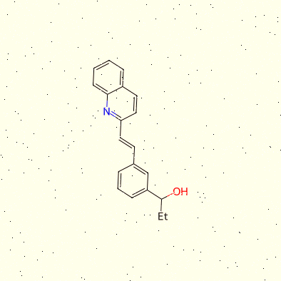 CCC(O)c1cccc(/C=C/c2ccc3ccccc3n2)c1